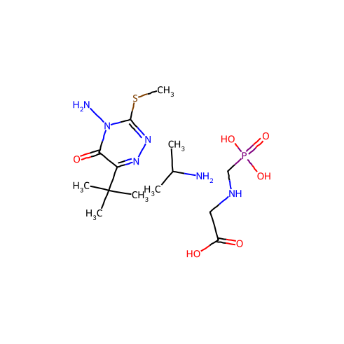 CC(C)N.CSc1nnc(C(C)(C)C)c(=O)n1N.O=C(O)CNCP(=O)(O)O